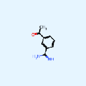 CC(=O)c1cccc(C(=N)N)c1